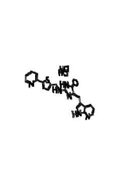 Cl.Cl.O=C1NC(NCc2ccc(-c3ccccn3)s2)=NC1=Cc1c[nH]c2ncccc12